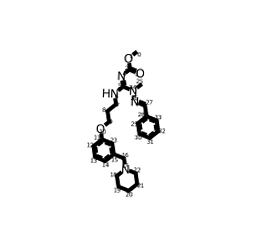 COC(=O)N=C(NCCCOc1cccc(CN2CCCCC2)c1)N(C)N=Cc1ccccc1